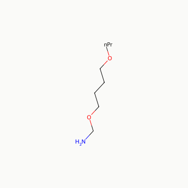 CCCOCCCCOCN